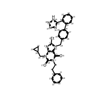 CCc1nc2c(c(=O)n(CCc3ccccc3)c(=O)n2CC2CC2)n1Cc1ccc(-c2ccccc2-c2nnn[nH]2)cc1